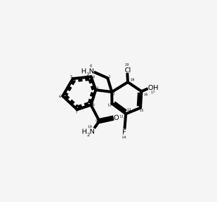 NCC1(c2ccccc2C(N)=O)C=C(F)C=C(O)C1Cl